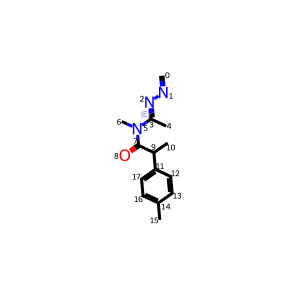 C=N/N=C(\C)N(C)C(=O)C(C)c1ccc(C)cc1